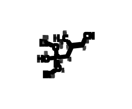 CCO[PH](O)(C/C(C)=C/C#N)OCC